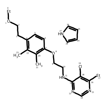 CCOCCc1ccc(OCCNc2ncnc(CC)c2Cl)c(C)c1C.c1cc[nH]c1